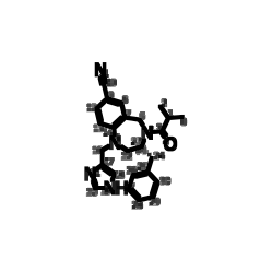 CC(C)C(=O)N1Cc2cc(C#N)ccc2N(Cc2c[nH]cn2)C[C@H]1Cc1ccccc1